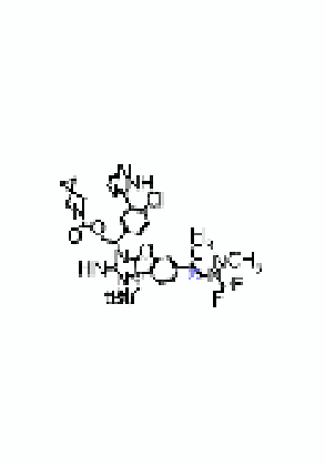 C=NN(/C=C(\C)c1ccc([C@@]2(CC(C)(C)C)NC(=N)N(C(COC(=O)N3CC4(CC4)C3)c3ccc(Cl)c(-c4ncn[nH]4)c3)C2=O)cc1)C(F)F